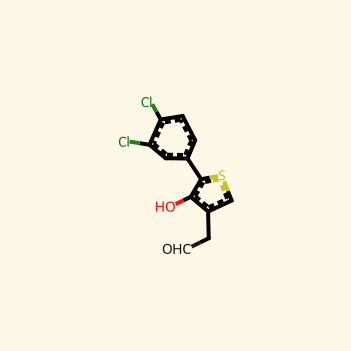 O=CCc1csc(-c2ccc(Cl)c(Cl)c2)c1O